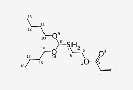 C=CC(=O)OCC[SiH2]C(OCCCC)OCCCC